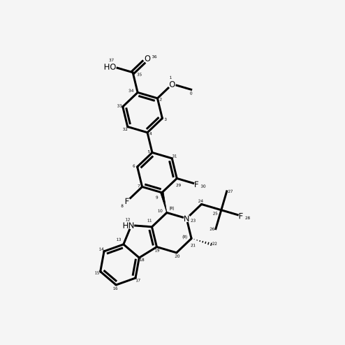 COc1cc(-c2cc(F)c([C@@H]3c4[nH]c5ccccc5c4C[C@@H](C)N3CC(C)(C)F)c(F)c2)ccc1C(=O)O